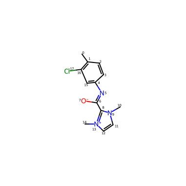 Cc1ccc(/N=C(\[O-])c2n(C)cc[n+]2C)cc1Cl